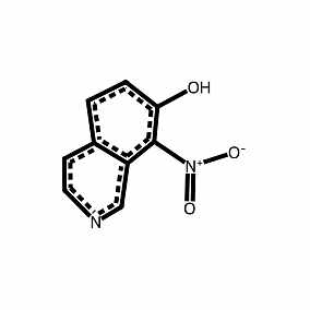 O=[N+]([O-])c1c(O)ccc2ccncc12